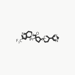 CC(C)[C@]1(C(=O)N2CCc3ncc(C(F)(F)F)cc3C2)CCC(N2CCC(c3cncnc3)CC2)C1